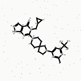 Cc1nc(N2CCC3(CCN(c4nc5[nH]ncc5c(=O)n4CC4CC4)CC3)C2)cc(C(F)(F)F)n1